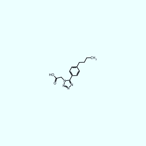 CCCCc1ccc(-c2nnnn2CC(=O)O)cc1